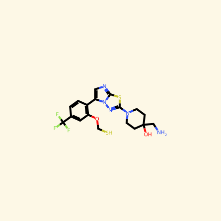 NCC1(O)CCN(c2nn3c(-c4ccc(C(F)(F)F)cc4OCS)cnc3s2)CC1